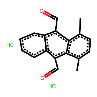 Cc1ccc(C)c2c(C=O)c3ccccc3c(C=O)c12.Cl.Cl